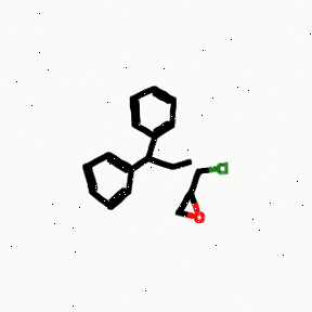 CCC(c1ccccc1)c1ccccc1.ClCC1CO1